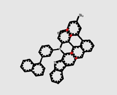 CC(C)(C)c1cc(-c2cccc3cccc(-c4ccccc4N(c4cccc(-c5cccc6ccccc56)c4)c4cccc5c4sc4ccccc45)c23)cc(C(C)(C)C)c1